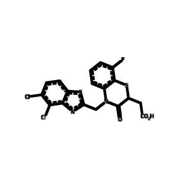 O=C(O)CC1Sc2c(F)cccc2N(Cc2nc3c(Cl)c(Cl)ccc3s2)C1=O